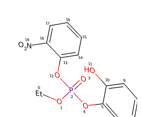 CCOP(=O)(Oc1ccccc1O)Oc1ccccc1[N+](=O)[O-]